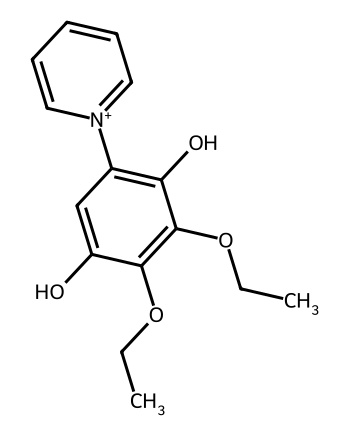 CCOc1c(O)cc(-[n+]2ccccc2)c(O)c1OCC